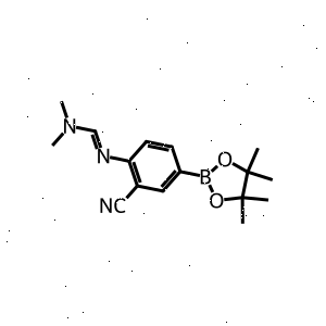 CN(C)/C=N/c1ccc(B2OC(C)(C)C(C)(C)O2)cc1C#N